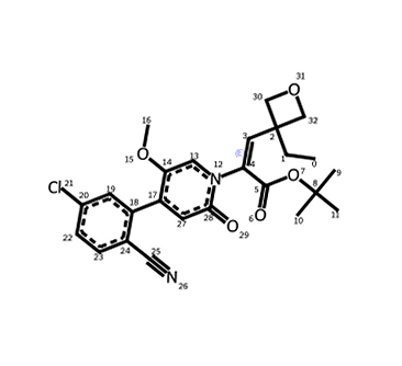 CCC1(/C=C(\C(=O)OC(C)(C)C)n2cc(OC)c(-c3cc(Cl)ccc3C#N)cc2=O)COC1